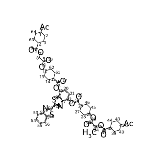 CC(=O)C1CCC(C(=O)OCC(=O)OC2CCC(C(=O)Oc3ccc(OC(=O)C4CCC(OC(=O)C(C)OC(=O)C5CCC(C(C)=O)CC5)CC4)c4nc(-c5nc6ccccc6s5)sc34)CC2)CC1